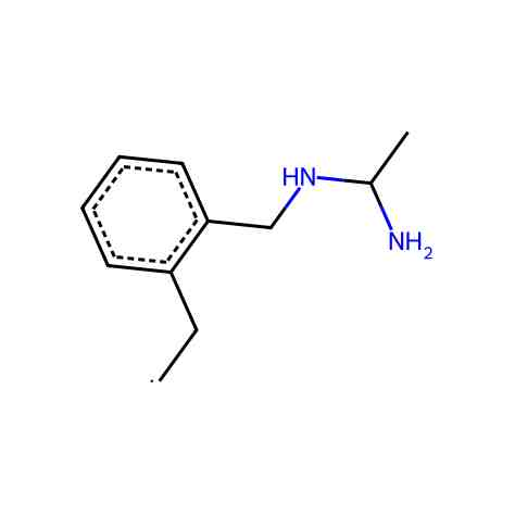 [CH2]Cc1ccccc1CNC(C)N